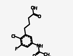 CC(=O)Nc1cc(F)c(Cl)c(CCCC(=O)O)c1